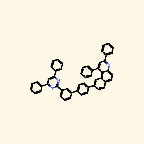 c1ccc(-c2cc(-c3ccccc3)nc(-c3cccc(-c4ccc(-c5ccc6ccc7nc(-c8ccccc8)cc(-c8ccccc8)c7c6c5)cc4)c3)n2)cc1